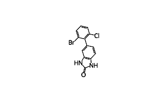 O=c1[nH]c2ccc(-c3c(Cl)cccc3Br)cc2[nH]1